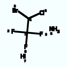 FC(F)(F)C(Cl)Br.I.N